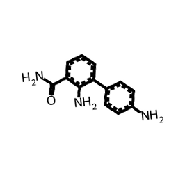 NC(=O)c1cccc(-c2ccc(N)cc2)c1N